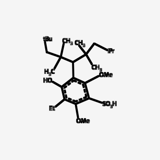 CCc1c(O)c(C(C(C)(C)CC(C)C)C(C)(C)CC(C)(C)C)c(OC)c(S(=O)(=O)O)c1OC